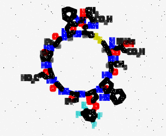 CC(=O)NC(O)(CC(=O)O)C(=O)N[C@H]1CSSC[C@@H](C(=O)N[C@H](C(=O)O)[C@@H](C)O)NC(=O)[C@H](Cc2c[nH]c3ccccc23)NC(=O)[C@H](C(C)C)NC(=O)[C@H](CC(C)C)NC(=O)[C@H](CCC(=O)O)NC(=O)CNC(=O)[C@H](CC(C)C)NC(=O)[C@H](CC(=O)Oc2c(F)c(F)cc(F)c2F)NC(=O)[C@H](Cc2c[nH]c3ccccc23)NC(=O)[C@H](C)NC1=O